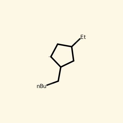 [CH2]CC1C[CH]C(CCCCC)C1